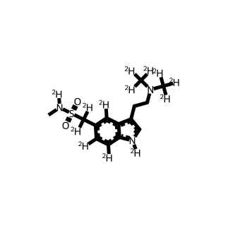 [2H]c1c(C([2H])([2H])S(=O)(=O)N([2H])C)c([2H])c2c(CCN(C([2H])([2H])[2H])C([2H])([2H])[2H])cn([2H])c2c1[2H]